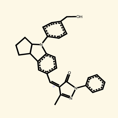 CC1=NN(c2ccccc2)C(=O)/C1=C\c1ccc2c(c1)C1CCCC1N2c1ccc(CO)cc1